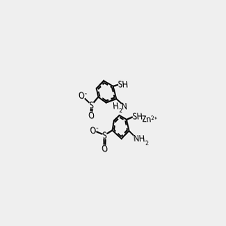 Nc1cc(S(=O)[O-])ccc1S.Nc1cc(S(=O)[O-])ccc1S.[Zn+2]